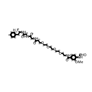 COc1cc(C(=O)NCCOCCOCCOCCOCCC(=O)NCC(=O)NCC(=O)NC(C)Cc2ccccc2)ccc1NC=O